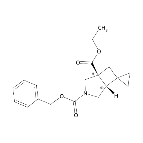 CCOC(=O)[C@]12CN(C(=O)OCc3ccccc3)C[C@H]1C1(CC1)C2